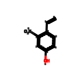 C=Cc1ccc(O)cc1[N+](=O)[O-]